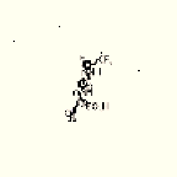 CN(C)C(=O)/C=C/CC[C@@H](CN(C)C(=O)O)C(=O)Nc1cccn(Cc2nc3cc(F)cc(CCC(F)(F)F)c3[nH]2)c1=O